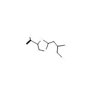 CC(CN)CC1NC(C(=O)O)CS1